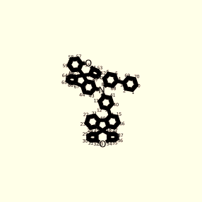 c1ccc(-c2cccc(N(c3ccc(-c4cccc5c4-c4ccccc4C54c5ccccc5Oc5ccccc54)cc3)c3ccc4c(c3)C3(c5ccccc5Oc5ccccc53)c3ccccc3-4)c2)cc1